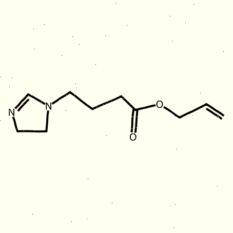 C=CCOC(=O)CCCN1C=NCC1